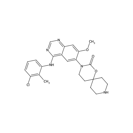 COc1cc2ncnc(Nc3cccc(Cl)c3C)c2cc1N1CCC2(CCNCC2)OC1=O